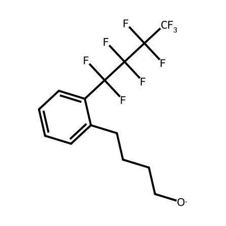 [O]CCCCc1ccccc1C(F)(F)C(F)(F)C(F)(F)C(F)(F)F